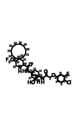 O=C(COc1ccc(Cl)c(F)c1)NC12CCC(NC(=O)C3CC4(CCCCCCCCCC4)C(C(F)(F)F)CN3)(CC1)C[C@@H]2O